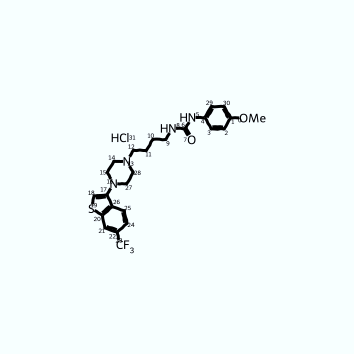 COc1ccc(NC(=O)NCCCCN2CCN(c3csc4cc(C(F)(F)F)ccc34)CC2)cc1.Cl